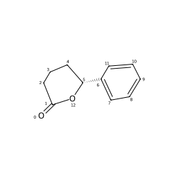 O=C1CCC[C@H](c2ccccc2)O1